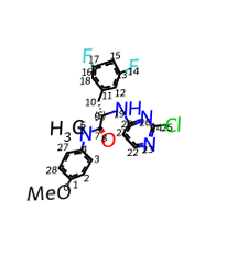 COc1ccc(N(C)C(=O)[C@H](Cc2cc(F)cc(F)c2)Nc2ccnc(Cl)n2)cc1